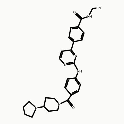 N#CCNC(=O)c1ccc(-c2ccnc(Nc3ccc(C(=O)N4CCC(N5CCCC5)CC4)cc3)n2)cc1